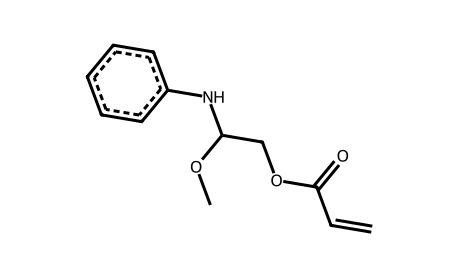 C=CC(=O)OCC(Nc1ccccc1)OC